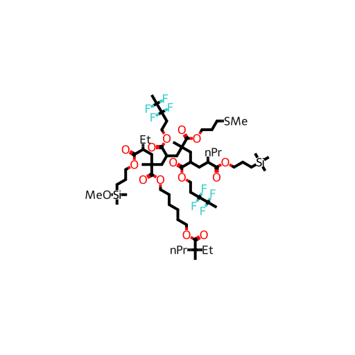 CCCC(CC(CC(C)(CC(CC(C)(CC(CC)C(=O)OCCC[Si](C)(C)OC)C(=O)OCCCCCCOC(=O)C(C)(CC)CCC)C(=O)OCCC(F)(F)C(C)(F)F)C(=O)OCCCSC)C(=O)OCCC(F)(F)C(C)(F)F)C(=O)OCCC[Si](C)(C)C